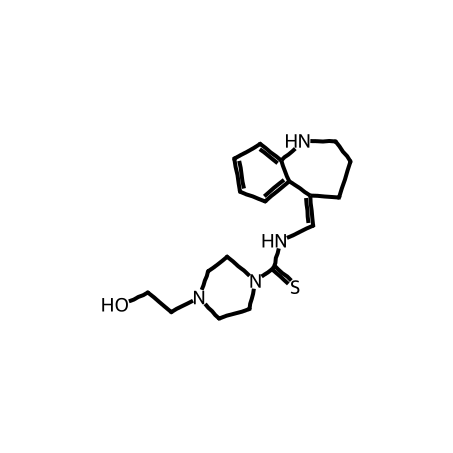 OCCN1CCN(C(=S)N/C=C2/CCCNc3ccccc32)CC1